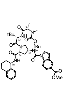 COC(=O)c1ccc2c(ccn2C(=O)N[C@H]2C[C@@H](C(=O)N[C@@H]3CCCc4ccccc43)N(C(=O)[C@@H](NC(=O)[C@H](C)N(C)C(=O)OC(C)(C)C)C(C)(C)C)C2)c1